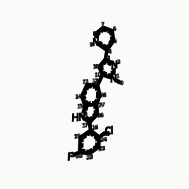 Cn1nc(-c2ccccn2)cc1-c1ccc2[nH]c(-c3cc(F)ccc3Cl)cc2c1